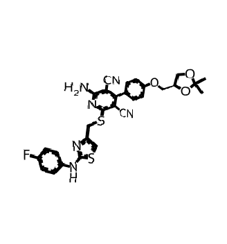 CC1(C)OC[C@H](COc2ccc(-c3c(C#N)c(N)nc(SCc4csc(Nc5ccc(F)cc5)n4)c3C#N)cc2)O1